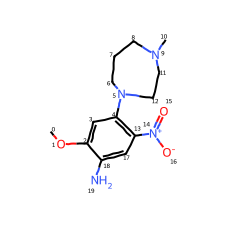 COc1cc(N2CCCN(C)CC2)c([N+](=O)[O-])cc1N